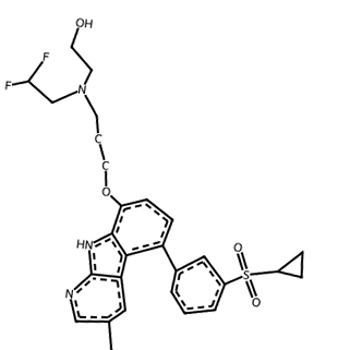 Cc1cnc2[nH]c3c(OCCCN(CCO)CC(F)F)ccc(-c4cccc(S(=O)(=O)C5CC5)c4)c3c2c1